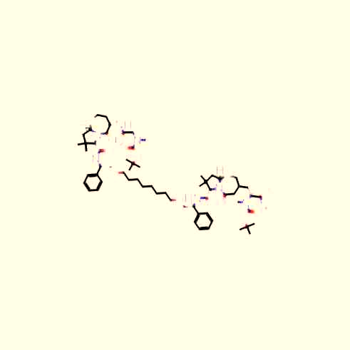 CN(CC(=O)N[C@H]1CCS[C@H]2CC(C)(C)[C@@H](C(=O)N[C@H](COCCCCCCCCOC[C@@H](NC(=O)[C@H]3N4C(=O)CC(C[C@@H](C(N)=O)N(C)C(=O)OC(C)(C)C)CS[C@H]4CC3(C)C)c3ccccc3)c3ccccc3)N2C1=O)C(=O)OC(C)(C)C